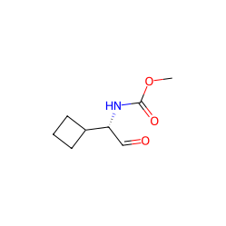 COC(=O)N[C@H](C=O)C1CCC1